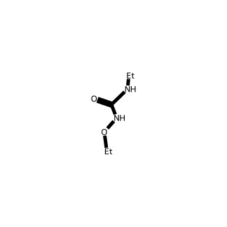 CCNC(=O)NOCC